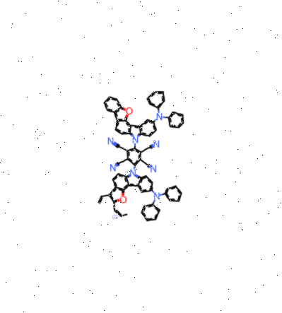 C=Cc1c(/C=C\C)oc2c1ccc1c2c2cc(N(c3ccccc3)c3ccccc3)ccc2n1-c1c(C#N)c(C#N)c(-n2c3ccc(N(c4ccccc4)c4ccccc4)cc3c3c4oc5ccccc5c4ccc32)c(C#N)c1C#N